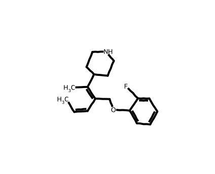 C/C=C\C(COc1ccccc1F)=C(/C)C1CCNCC1